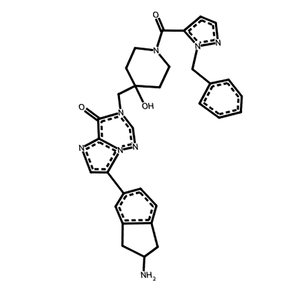 NC1Cc2ccc(-c3cnc4c(=O)n(CC5(O)CCN(C(=O)c6ccnn6Cc6ccccc6)CC5)cnn34)cc2C1